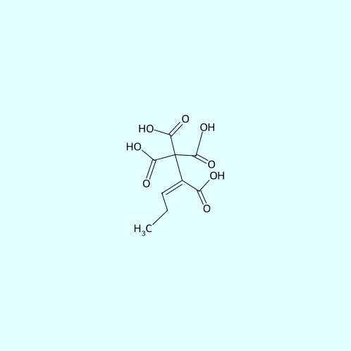 CC/C=C(\C(=O)O)C(C(=O)O)(C(=O)O)C(=O)O